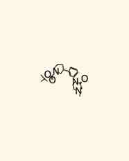 CN1CCN(c2cccc(C3CCCN(C(=O)OC(C)(C)C)C3)c2)C(=O)C1